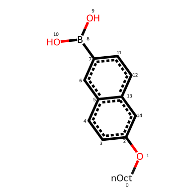 CCCCCCCCOc1ccc2cc(B(O)O)ccc2c1